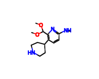 CNc1ccc(C2CCNCC2)c(C(OC)OC)n1